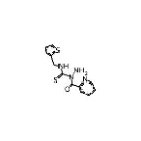 NN(C(=O)c1ccccn1)C(=S)NCc1cccs1